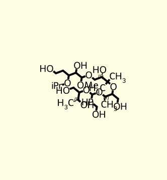 COC(OC[C@H](O)C(C)(C)OC(CO)[C@@H](C)OC(OC(CO)[C@@H](C)O)PCO)C(O)C(CCO)OC(C)C